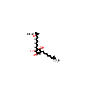 CC(C)(CCCCCCc1cc(O)c(O)c(CCCCCCC2(OC=O)CC2)c1O)C(=O)O